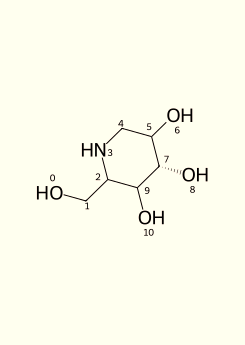 OCC1NCC(O)[C@H](O)C1O